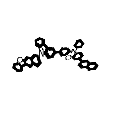 c1ccc(N2c3ccc(-c4ccc5ccccc5c4)cc3Oc3cc(-c4ccc5c(c4)c4ccccc4n5-c4ccc5cc6c(cc5c4)oc4ccccc46)ccc32)cc1